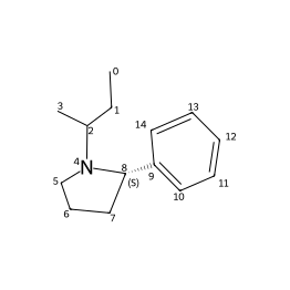 CCC(C)N1CCC[C@H]1c1ccccc1